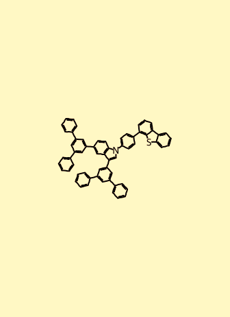 c1ccc(-c2cc(-c3ccccc3)cc(-c3ccc4c(c3)c(-c3cc(-c5ccccc5)cc(-c5ccccc5)c3)cn4-c3ccc(-c4cccc5c4sc4ccccc45)cc3)c2)cc1